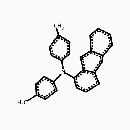 Cc1ccc(N(c2ccc(C)cc2)c2cccc3cc4ccccc4cc23)cc1